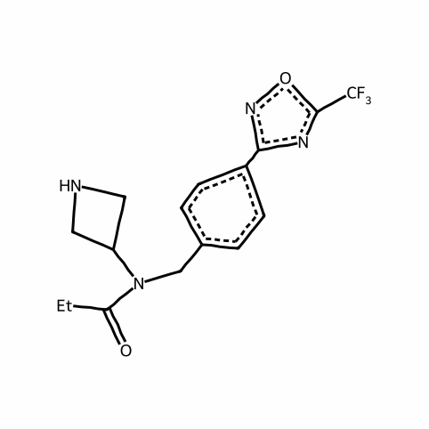 CCC(=O)N(Cc1ccc(-c2noc(C(F)(F)F)n2)cc1)C1CNC1